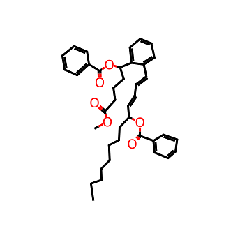 CCCCCCCCC(/C=C/C=C/c1ccccc1C(CCCC(=O)OC)OC(=O)c1ccccc1)OC(=O)c1ccccc1